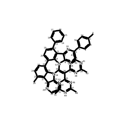 Cc1ccc(-c2cnc3c(n2)c2c(-c4ccccc4)ccc4c5ccc(C)c6c7nccnc7n(c(=C(c7nc(C)nc(C)n7)c7nc(C)nc(C)n7)n3c42)c56)cc1